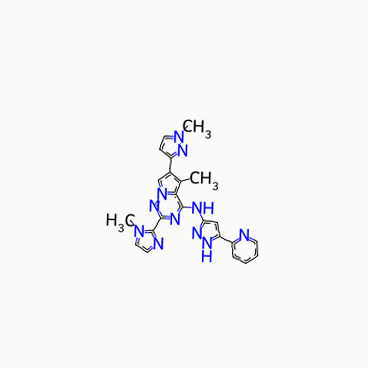 Cc1c(-c2ccn(C)n2)cn2nc(-c3nccn3C)nc(Nc3cc(-c4ccccn4)[nH]n3)c12